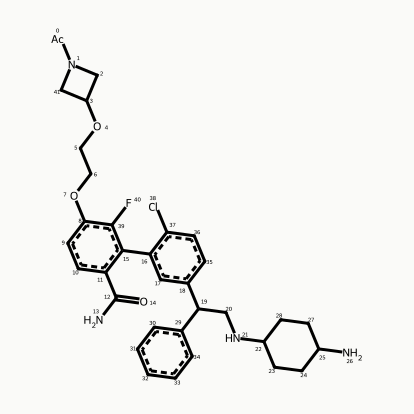 CC(=O)N1CC(OCCOc2ccc(C(N)=O)c(-c3cc(C(CNC4CCC(N)CC4)c4ccccc4)ccc3Cl)c2F)C1